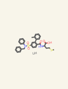 CSCCC(NC(=O)c1ccc(S(=O)(=O)N(Cc2ccccc2)c2ccccc2)cc1-c1ccccc1C)C(=O)O.[LiH]